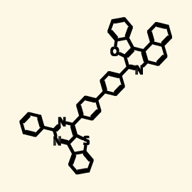 c1ccc(-c2nc(-c3ccc(-c4ccc(-c5nc6ccc7ccccc7c6c6c5oc5ccccc56)cc4)cc3)c3sc4ccccc4c3n2)cc1